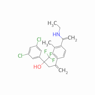 C=C(CC(O)(c1cc(Cl)cc(Cl)c1)C(F)(F)F)c1ccc(C(=C)NCC)c(C)c1